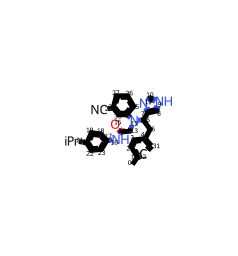 Cc1ccc(CC(c2c[nH]cn2)N(CC(=O)Nc2ccc(C(C)C)cc2)c2cccc(C#N)c2)cc1